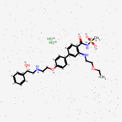 CCOCCNc1cc(-c2ccc(OCCNC[C@@H](O)c3ccccc3)cc2)ccc1C(=O)NS(C)(=O)=O.Cl.Cl